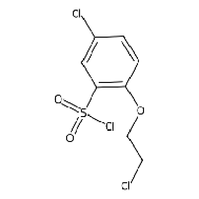 O=S(=O)(Cl)c1cc(Cl)ccc1OCCCl